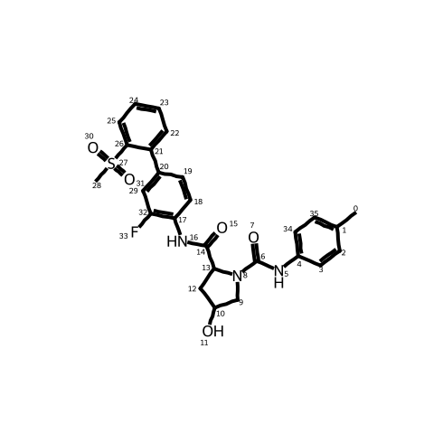 Cc1ccc(NC(=O)N2CC(O)CC2C(=O)Nc2ccc(-c3ccccc3S(C)(=O)=O)cc2F)cc1